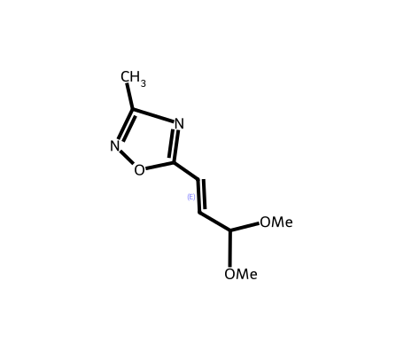 COC(/C=C/c1nc(C)no1)OC